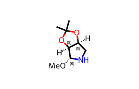 CO[C@H]1NC[C@@H]2OC(C)(C)O[C@@H]21